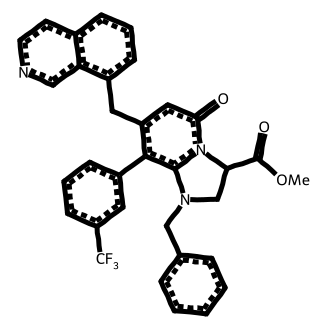 COC(=O)C1CN(Cc2ccccc2)c2c(-c3cccc(C(F)(F)F)c3)c(Cc3cccc4ccncc34)cc(=O)n21